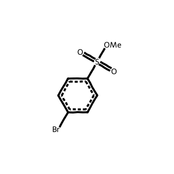 COS(=O)(=O)c1ccc(Br)cc1